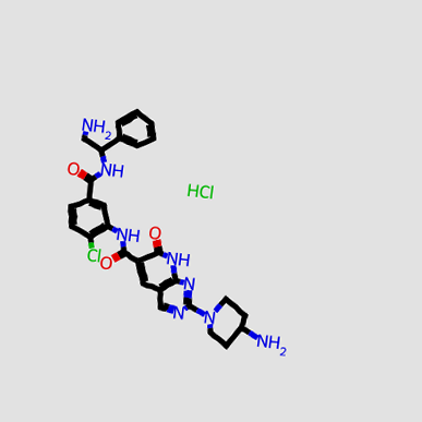 Cl.NCC(NC(=O)c1ccc(Cl)c(NC(=O)c2cc3cnc(N4CCC(N)CC4)nc3[nH]c2=O)c1)c1ccccc1